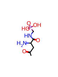 CC(=O)CC(N)C(=O)NCP(=O)(O)O